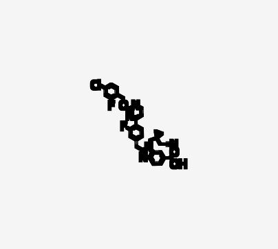 N#CCC1(Cn2c(Cc3ccc(-c4ccnc(OCc5ccc(Cl)cc5F)n4)c(F)c3)nc3ccc(C(=O)O)cc32)CC1